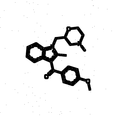 COc1ccc(C(=O)c2c(C)n(CC3CN(C)CCO3)c3ccccc23)cc1